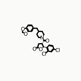 O=C1C[C@H](C(=O)N2CCC(Cc3ccc4c(c3)OCO4)CC2)[C@@H](c2ccc(Cl)cc2Cl)O1